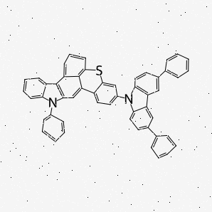 c1ccc(-c2ccc3c(c2)c2cc(-c4ccccc4)ccc2n3-c2ccc3c(c2)Sc2cccc4c2c-3cc2c4c3ccccc3n2-c2ccccc2)cc1